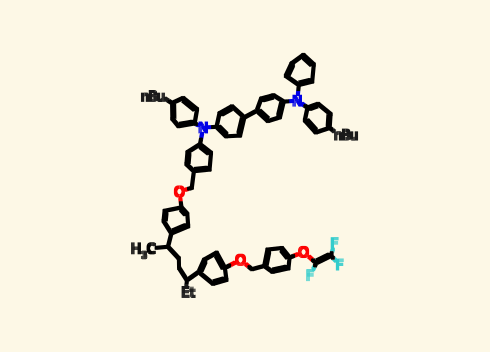 CCCCc1ccc(N(c2ccccc2)c2ccc(-c3ccc(N(c4ccc(CCCC)cc4)c4ccc(COc5ccc(C(C)CCC(CC)c6ccc(OCc7ccc(OC(F)=C(F)F)cc7)cc6)cc5)cc4)cc3)cc2)cc1